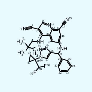 CC(C)(C)CNc1c(C#N)cnc2c(C#N)cc(NC(c3ccccc3)c3cn(C4(C(F)F)CC4)nn3)cc12